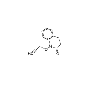 C#CCON1C(=O)CCc2ccccc21